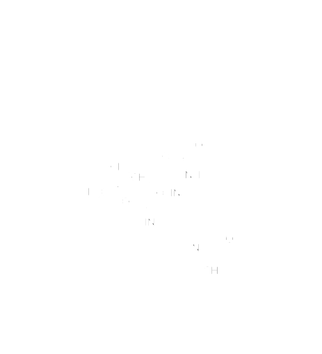 CN1CC(NC(=O)OC(C)(C)C)[C@H](NNC(=O)OCc2ccccc2)CC1=O